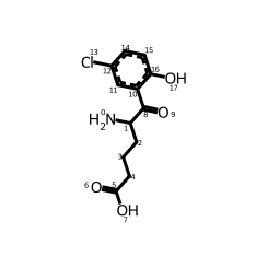 NC(CCCC(=O)O)C(=O)c1cc(Cl)ccc1O